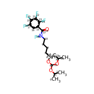 CC(C)OC(O[SiH2]CCCCN(F)C(=O)c1cc(F)c(F)c(F)c1F)OC(C)C